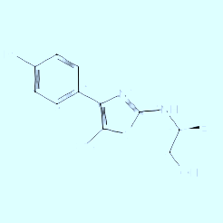 CC[C@@H](CO)Nc1nc(-c2ccc(Br)cc2)c(Cl)s1